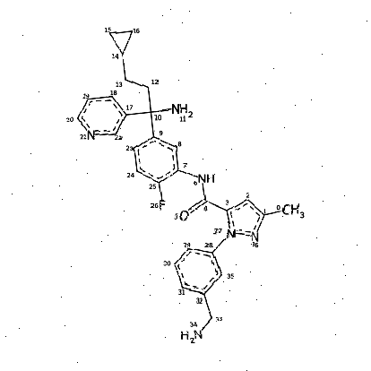 Cc1cc(C(=O)Nc2cc(C(N)(CCC3CC3)c3cccnc3)ccc2F)n(-c2cccc(CN)c2)n1